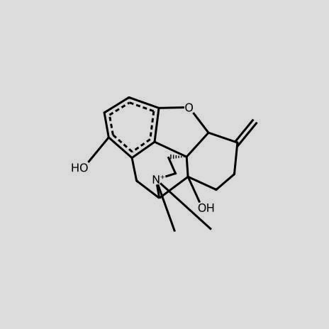 C=C1CCC2(O)C3Cc4c(O)ccc5c4[C@@]2(CC[N+]3(C)C)C1O5